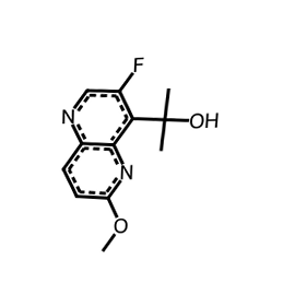 COc1ccc2ncc(F)c(C(C)(C)O)c2n1